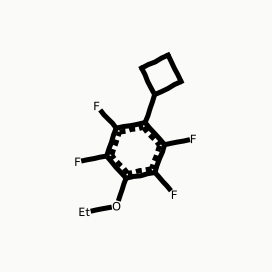 CCOc1c(F)c(F)c(C2CCC2)c(F)c1F